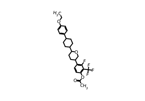 CCOc1ccc(C2CCC(C3CCC(c4ccc(OC(C)=O)c(C(F)(F)F)c4F)CO3)CC2)cc1